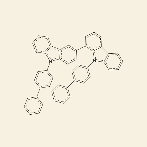 c1ccc(-c2ccc(-n3c4ccc(-c5cccc6c7ccccc7n(-c7ccc(-c8ccccc8)cc7)c56)cc4c4cccnc43)cc2)cc1